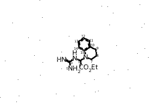 CCOC(=O)C(NC(=N)N)N1CCCc2ccccc21